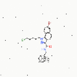 CC1(C)C2CCC(CNC(=O)c3nn(CCCCCCl)c4c3CCc3cc(Br)ccc3-4)C1C2